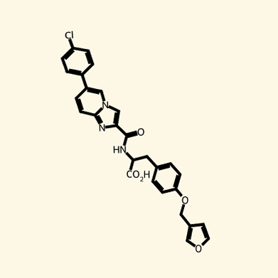 O=C(NC(Cc1ccc(OCc2ccoc2)cc1)C(=O)O)c1cn2cc(-c3ccc(Cl)cc3)ccc2n1